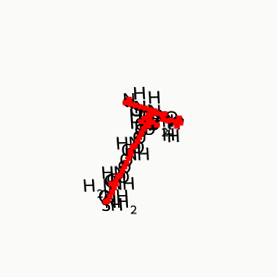 Cc1ccccc1NC(=O)Nc1ccc(CC(=O)N[C@@H](CCCCNC(=O)CCc2cccnc2)C(=O)N[C@@H](CCCC(=O)O)C(=O)NC2(C(=O)NCCOCCOCCNC(=O)CCC(=O)NCCOCCOCCNC(=O)CCC(=O)N[C@@H](CCCCNC(=O)[C@H](N)CS)C(N)=O)CCCCC2)cc1